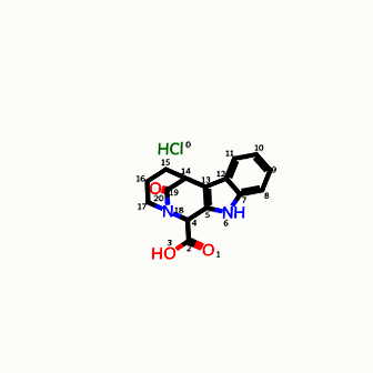 Cl.O=C(O)C1c2[nH]c3ccccc3c2C2CCCN1C2=O